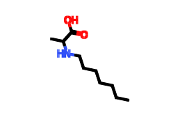 CCCCCCCNC(C)C(=O)O